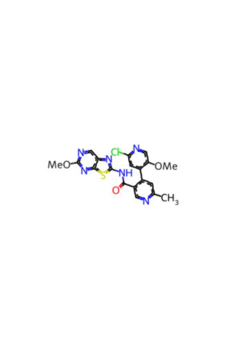 COc1ncc2nc(NC(=O)c3cnc(C)cc3-c3cc(Cl)ncc3OC)sc2n1